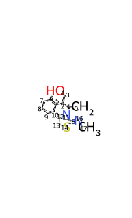 C=C(/C(=C/O)c1ccccc1)N1CCS/C1=N\C